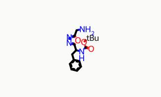 CC(C)(C)OC(=O)NC(Cc1ccccc1)c1nnc(CN)o1